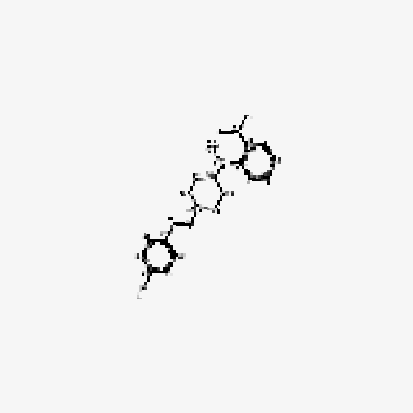 CC(C)c1ccccc1[S+]([O-])C1CCN(CCc2ccc(F)cc2)CC1